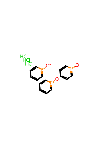 Cl.Cl.Cl.[O-][p+]1ccccc1.[O-][p+]1ccccc1.[O-][p+]1ccccc1